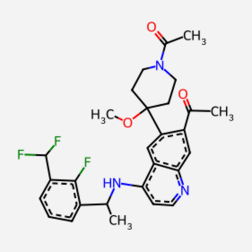 COC1(c2cc3c(NC(C)c4cccc(C(F)F)c4F)ccnc3cc2C(C)=O)CCN(C(C)=O)CC1